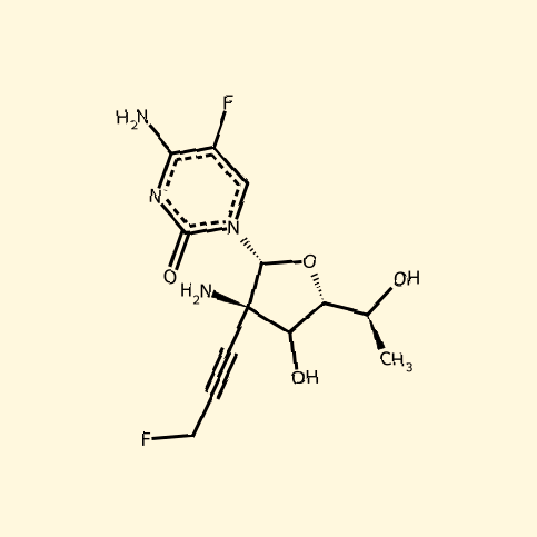 C[C@H](O)[C@H]1O[C@@H](n2cc(F)c(N)nc2=O)[C@@](N)(C#CCF)C1O